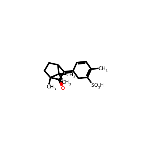 CC1=C(S(=O)(=O)O)CC(=C2C(=O)C3(C)CCC2C3(C)C)C=C1